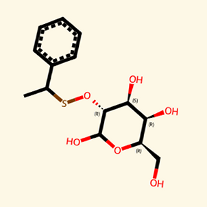 CC(SO[C@H]1C(O)O[C@H](CO)[C@H](O)[C@@H]1O)c1ccccc1